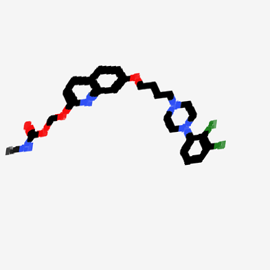 CCNC(=O)OCOc1ccc2ccc(OCCCCN3CCN(c4cccc(Cl)c4Cl)CC3)cc2n1